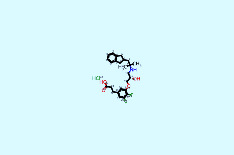 CC(C)(CC1Cc2ccccc2C1)NC[C@H](O)COc1cc(CCC(=O)O)cc(F)c1F.Cl